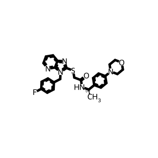 C[C@H](NC(=O)CSc1nc2cccnc2n1Cc1ccc(F)cc1)c1ccc(N2CCOCC2)cc1